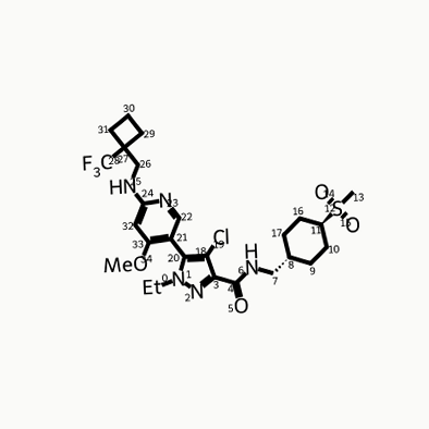 CCn1nc(C(=O)NC[C@H]2CC[C@H](S(C)(=O)=O)CC2)c(Cl)c1-c1cnc(NCC2(C(F)(F)F)CCC2)cc1OC